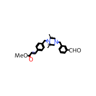 COC(=O)/C=C/c1ccc(CN2[C@H](C)CN(Cc3cccc(C=O)c3)C[C@@H]2C)cc1